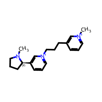 CN1CCC[C@@H]1c1ccc[n+](CCCc2ccc[n+](C)c2)c1